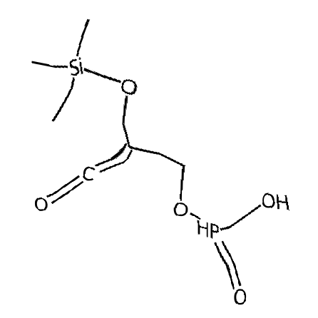 C[Si](C)(C)OC(=C=O)CO[PH](=O)O